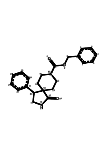 O=C(OCc1ccccc1)N1CCC2(CC1)C(=O)NCC2c1ccccc1